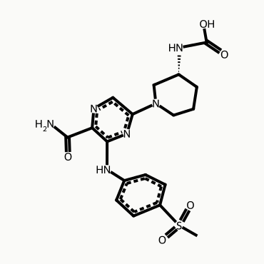 CS(=O)(=O)c1ccc(Nc2nc(N3CCC[C@@H](NC(=O)O)C3)cnc2C(N)=O)cc1